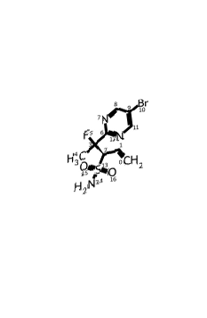 C=C[C@H](C(C)(F)c1ncc(Br)cn1)S(N)(=O)=O